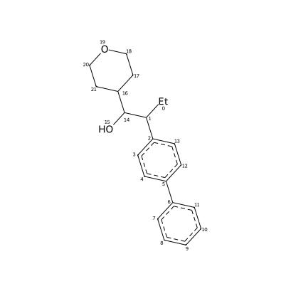 [CH2]CC(c1ccc(-c2ccccc2)cc1)C(O)C1CCOCC1